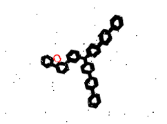 c1ccc(-c2ccc(-c3ccc(C(c4ccc(-c5ccc(-c6ccccc6)cc5)cc4)c4cccc(-c5cccc6c5oc5ccccc56)c4)cc3)cc2)cc1